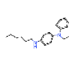 CCCCCCNc1ccc(N(CC)c2ccccc2)cc1